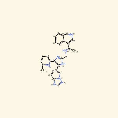 Cc1cccc(-c2nc(CNC(C)c3cncc4ccccc34)[nH]c2-c2ccc3ncnn3c2)n1